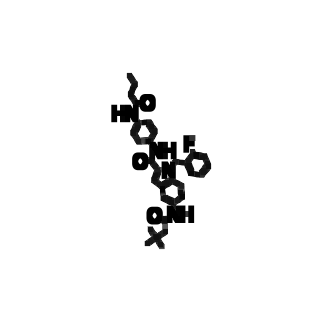 CCCC(=O)Nc1ccc(NC(=O)c2cc3cc(NC(=O)CC(C)(C)C)ccc3n2Cc2ccccc2F)cc1